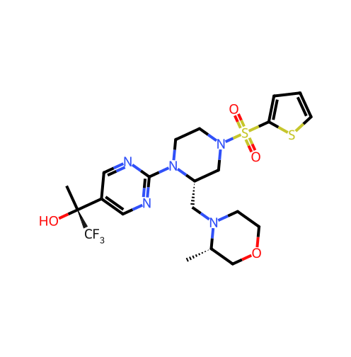 C[C@H]1COCCN1C[C@H]1CN(S(=O)(=O)c2cccs2)CCN1c1ncc([C@@](C)(O)C(F)(F)F)cn1